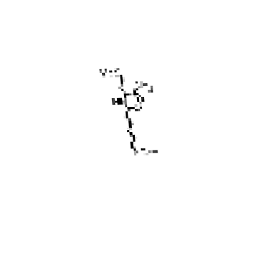 CCCCCCCCCCCCCCCC(=O)N[C@@H](CCSC)C(N)=O